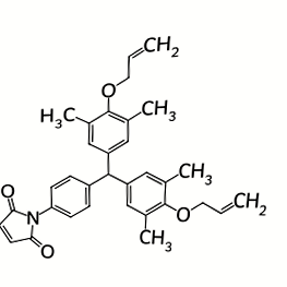 C=CCOc1c(C)cc(C(c2ccc(N3C(=O)C=CC3=O)cc2)c2cc(C)c(OCC=C)c(C)c2)cc1C